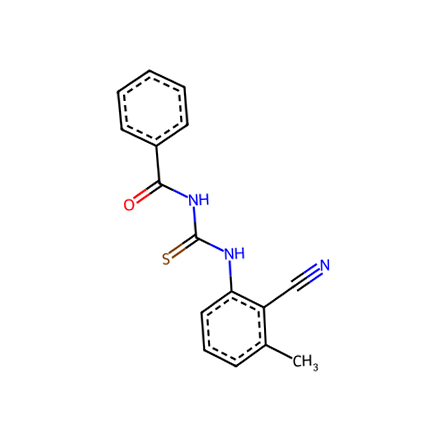 Cc1cccc(NC(=S)NC(=O)c2ccccc2)c1C#N